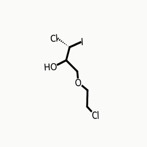 OC(COCCCl)[C@H](Cl)I